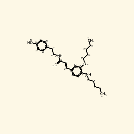 CCCCCNc1ccc(C=CC(=O)NCCc2ccc(O)cc2)cc1OCCCCC